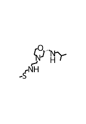 CSCNCCN1CCO[C@H](CNCC(C)C)C1